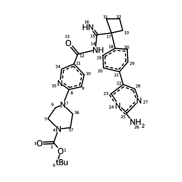 CC(C)(C)OC(=O)N1CCN(c2ccc(C(=O)NC(=N)C3(c4ccc(-c5cnc(N)nc5)cc4)CCC3)cn2)CC1